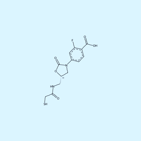 O=C(CS)NC[C@H]1CN(c2ccc(C(=O)O)c(F)c2)C(=O)O1